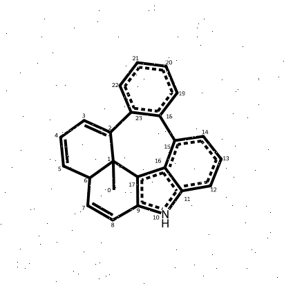 CC12C3=CC=CC1C=Cc1[nH]c4cccc(c4c12)-c1ccccc13